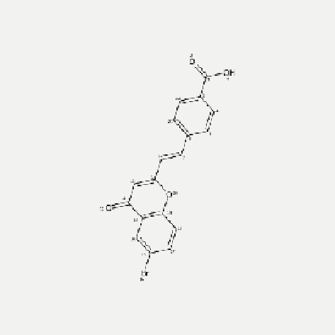 O=C(O)c1ccc(C=Cc2cc(=O)c3cc(Br)ccc3o2)cc1